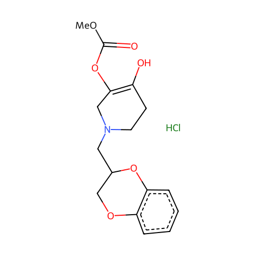 COC(=O)OC1=C(O)CCN(CC2COc3ccccc3O2)C1.Cl